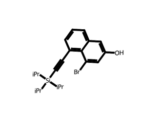 CC(C)[Si](C#Cc1cccc2cc(O)cc(Br)c12)(C(C)C)C(C)C